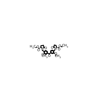 CCOC(=O)[C@@H]1CCC(=O)N1Cc1ccc(C(=O)c2ccc(CN3C(=O)CC[C@H]3C(=O)OCC)c(OC)c2)cc1OC